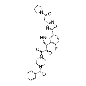 O=C(C(=O)N1CCN(C(=O)c2ccccc2)CC1)c1c[nH]c2c(-c3nc(CC(=O)N4CCCC4)no3)ccc(F)c12